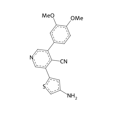 COc1ccc(-c2cncc(-c3cc(N)cs3)c2C#N)cc1OC